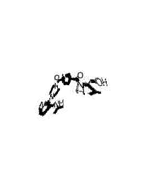 CC(C)Nc1cccnc1N1CCN(C(=O)c2ccc(C(=O)N[C@H](CO)C(C)C)cn2)CC1